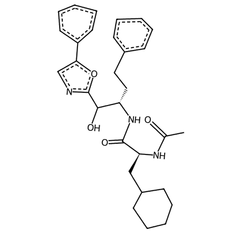 CC(=O)N[C@@H](CC1CCCCC1)C(=O)N[C@@H](CCc1ccccc1)C(O)c1ncc(-c2ccccc2)o1